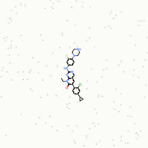 CCn1c(=O)c(-c2ccc(C3CC3)cc2Cl)cc2cnc(Nc3ccc(N4CCNCC4)c(F)c3)nc21